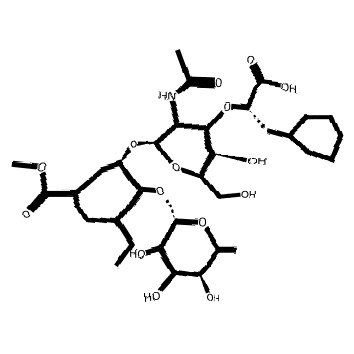 CCC1CC(C(=O)OC)C[C@@H](O[C@@H]2OC(CO)[C@H](O)C(O[C@@H](CC3CCCCC3)C(=O)O)C2NC(C)=O)C1O[C@@H]1OC(C)[C@@H](O)C(O)C1O